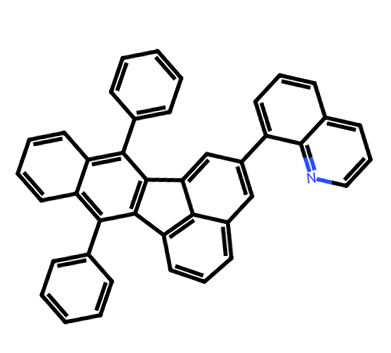 c1ccc(-c2c3c(c(-c4ccccc4)c4ccccc24)-c2cc(-c4cccc5cccnc45)cc4cccc-3c24)cc1